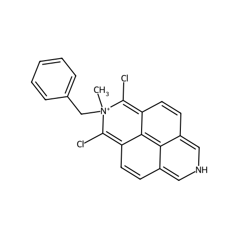 C[N+]1(Cc2ccccc2)C(Cl)=c2ccc3c4c(ccc(c24)=C1Cl)=CNC=3